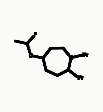 CC(F)OC1CCC(C(C)C)N(C(C)C)CC1